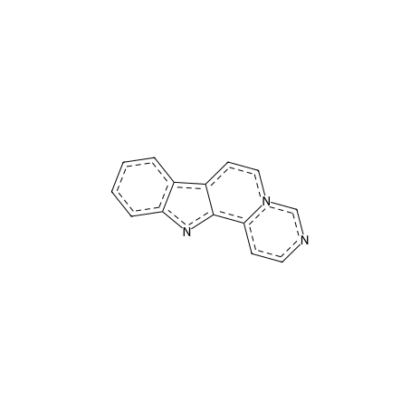 c1ccc2c3ccn4cnccc4c-3nc2c1